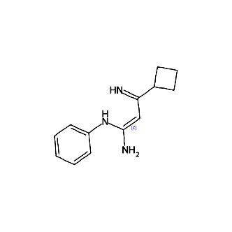 N=C(/C=C(/N)Nc1ccccc1)C1CCC1